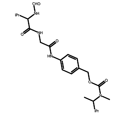 CC(C)C(NC=O)C(=O)NCC(=O)Nc1ccc(COC(=O)N(C)C(C)C(C)C)cc1